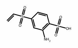 C=CS(=O)(=O)c1ccc(S(=O)(=O)O)c(N)c1